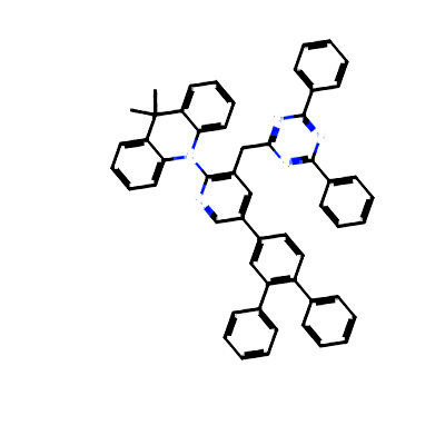 CC1(C)c2ccccc2N(c2ncc(-c3ccc(-c4ccccc4)c(-c4ccccc4)c3)cc2Cc2nc(-c3ccccc3)nc(-c3ccccc3)n2)c2ccccc21